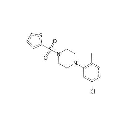 Cc1ccc(Cl)cc1N1CCN(S(=O)(=O)c2cccs2)CC1